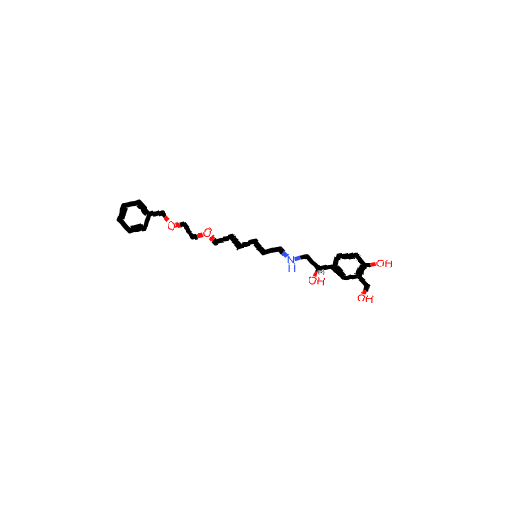 OCc1cc([C@@H](O)CNCCCCCCOCCOCc2ccccc2)ccc1O